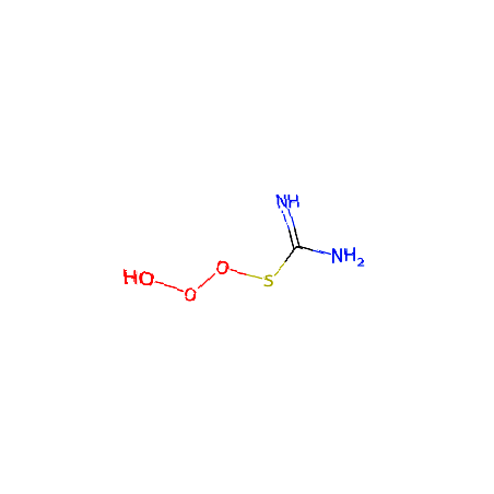 N=C(N)SOOO